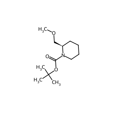 COC[C@H]1CCCCN1C(=O)OC(C)(C)C